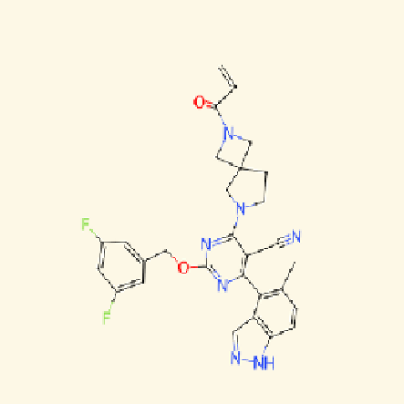 C=CC(=O)N1CC2(CCN(c3nc(OCc4cc(F)cc(F)c4)nc(-c4c(C)ccc5[nH]ncc45)c3C#N)C2)C1